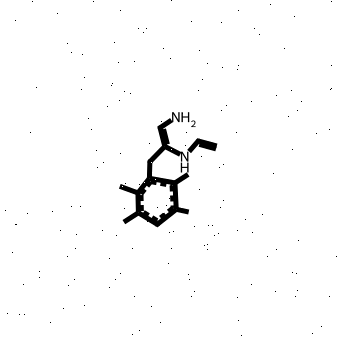 C=CN/C(=C\N)Cc1c(C)c(C)cc(C)c1C